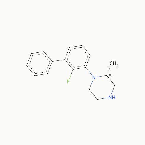 C[C@@H]1CNCCN1c1cccc(-c2ccccc2)c1F